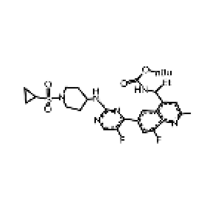 CCCCOC(=O)NC(CC)c1cc(C)nc2c(F)cc(-c3nc(NC4CCN(S(=O)(=O)C5CC5)CC4)ncc3F)cc12